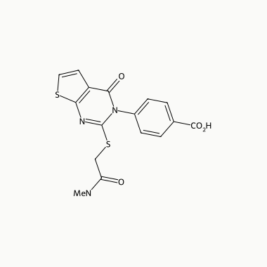 CNC(=O)CSc1nc2sccc2c(=O)n1-c1ccc(C(=O)O)cc1